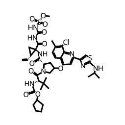 C=C[C@@H]1C[C@]1(NC(=O)[C@@H]1CC(Oc2cc(-c3csc(NC(C)C)n3)nc3c(Cl)c(C)ccc23)CN1C(=O)[C@@H](NC(=O)OC1CCCC1)C(C)(C)C)C(=O)NC(=O)NS(=O)(=O)OC